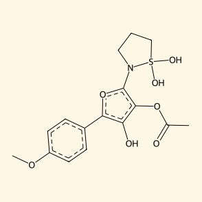 COc1ccc(-c2oc(N3CCCS3(O)O)c(OC(C)=O)c2O)cc1